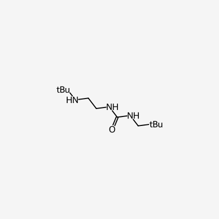 CC(C)(C)CNC(=O)NCCNC(C)(C)C